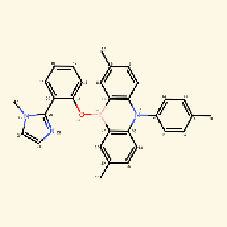 Cc1ccc(N2c3ccc(C)cc3B(Oc3ccccc3-c3nccn3C)c3cc(C)ccc32)cc1